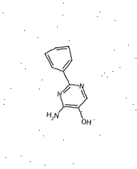 Nc1nc(-c2ccccc2)ncc1O